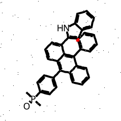 CP(C)(=O)c1ccc(-c2c3ccccc3c(-c3ccccc3)c3c(-c4cc5ccccc5[nH]4)cccc23)cc1